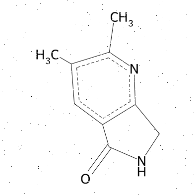 Cc1cc2c(nc1C)CNC2=O